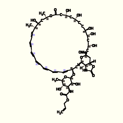 C=CCOC(=O)N[C@@H]1[C@H](O)[C@H](O[C@H]2/C=C/C=C/C=C/C=C/C=C/C=C/C=C/[C@H](C)[C@@H](O)C[C@H](C)OC(=O)C[C@H](O)C[C@H](O)CC[C@@H](O)[C@H](O)C[C@H](O)C[C@]3(OC)C[C@@H]4OC(=O)N[C@H]4[C@H](C2)O3)O[C@H](C)[C@H]1O